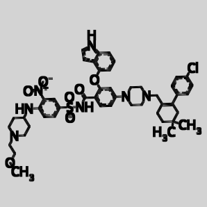 COCCN1CCC(Nc2ccc(S(=O)(=O)NC(=O)c3ccc(N4CCN(CC5=C(c6ccc(Cl)cc6)CC(C)(C)CC5)CC4)cc3Oc3cccc4[nH]ccc34)cc2[N+](=O)[O-])CC1